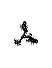 COc1cc2c(cc1OCc1cc(COc3cc4c(cc3C)C(=O)N3c5ccccc5C[C@H]3C=N4)cc(N(C)CCCC(=O)ON3C(=O)CCC3=O)c1)NC[C@@H]1Cc3ccccc3N1C2=O